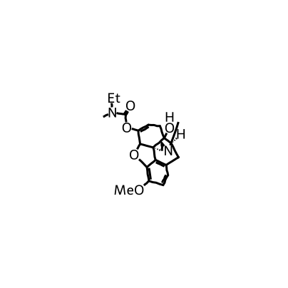 CCN(C)C(=O)OC1=CCC2(O)[C@H]3Cc4ccc(OC)c5c4[C@@]2(CCN3C)C1O5